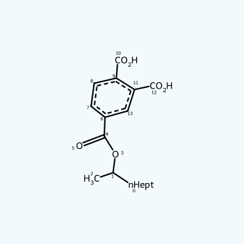 CCCCCCCC(C)OC(=O)c1ccc(C(=O)O)c(C(=O)O)c1